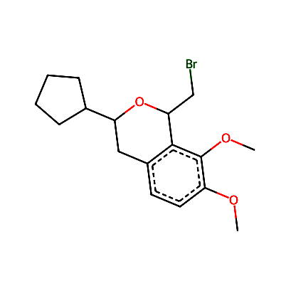 COc1ccc2c(c1OC)C(CBr)OC(C1CCCC1)C2